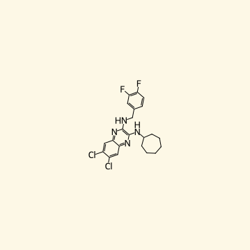 Fc1ccc(CNc2nc3cc(Cl)c(Cl)cc3nc2NC2CCCCCC2)cc1F